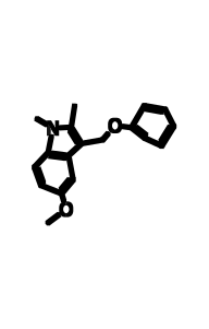 COc1ccc2c(c1)c(COc1ccccc1)c(C)n2C